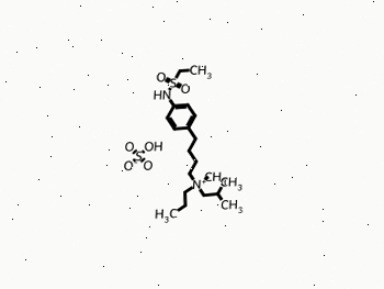 CCC[N+](C)(CCCCc1ccc(NS(=O)(=O)CC)cc1)CC(C)C.O=S(=O)([O-])O